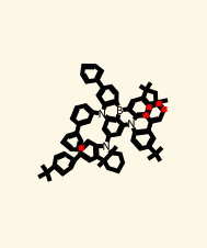 CC(C)(C)c1ccc(-c2ccc3c(c2)C2(C)CCCCC2(C)N3c2cc3c4c(c2)N(c2ccc(C(C)(C)C)cc2-c2ccccc2)c2cc5c(cc2B4c2ccc(-c4ccccc4)cc2N3c2cccc(-c3ccccc3)c2)C(C)(C)CC5(C)C)cc1